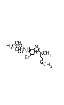 COCCN(C)c1cnc2cc(CNC(=O)OC(C)(C)C)c(Br)cn12